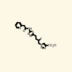 CCOC(=O)c1cn(CC(F)CCc2nnc(NC(=O)Cc3ccccn3)s2)nn1